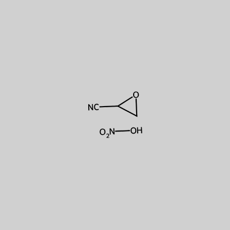 N#CC1CO1.O=[N+]([O-])O